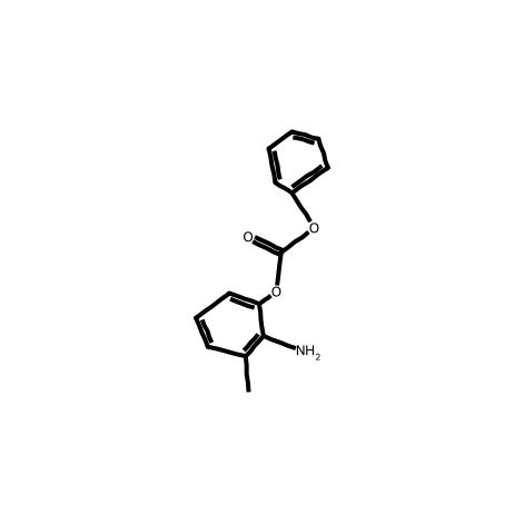 Cc1cccc(OC(=O)Oc2ccccc2)c1N